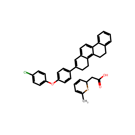 CC1=CC=CC(CC(=O)O)S1.Clc1ccc(Oc2ccc(C3=Cc4ccc5c(c4CC3)CCc3ccccc3-5)cc2)cc1